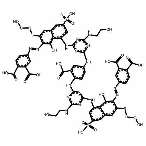 O=C(O)c1cc(Nc2nc(NCCO)nc(Nc3cc(S(=O)(=O)O)cc4cc(SOOO)c(N=Nc5ccc(C(=O)O)c(C(=O)O)c5)c(O)c34)n2)ccc1Nc1nc(NCCO)nc(Nc2cc(S(=O)(=O)O)cc3cc(SOOO)c(N=Nc4ccc(C(=O)O)c(C(=O)O)c4)c(O)c23)n1